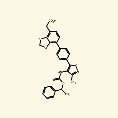 Cc1noc(-c2ccc(-c3ccc(CC(=O)O)c4c3OCO4)cc2)c1NC(=O)OC(C)c1ccccc1